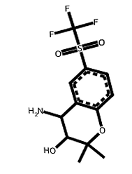 CC1(C)Oc2ccc(S(=O)(=O)C(F)(F)F)cc2C(N)C1O